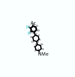 CNC1CCC(C2CCC(c3ccc(C(C)=O)c(F)c3F)CC2)CC1